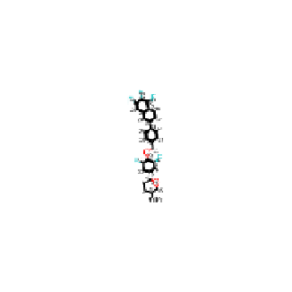 CCC[C@H]1CC[C@H](c2cc(F)c(OCc3ccc(-c4ccc5c(F)c(F)c(F)cc5c4)cc3)c(F)c2)OC1